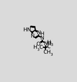 CC(C)(C)NC(=O)Nc1cnc2[nH]ccc2n1